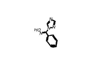 ON=C(c1ccccc1)n1cncn1